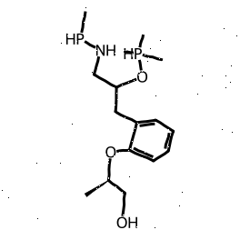 CPNCC(Cc1ccccc1O[C@H](C)CO)O[PH](C)(C)C